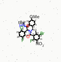 COc1ccc(CN(C(=O)c2c(C)c(Br)cc([N+](=O)[O-])c2F)C(C(=O)NC(C)(C)C)c2cc(F)ccc2Cl)cc1